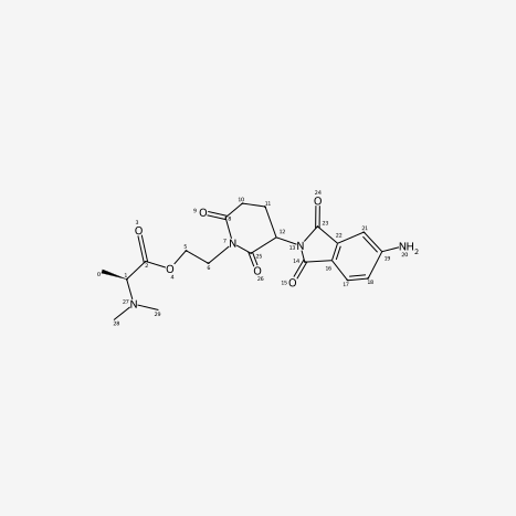 C[C@@H](C(=O)OCCN1C(=O)CCC(N2C(=O)c3ccc(N)cc3C2=O)C1=O)N(C)C